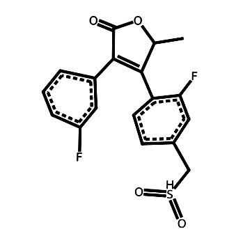 CC1OC(=O)C(c2cccc(F)c2)=C1c1ccc(C[SH](=O)=O)cc1F